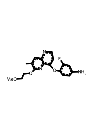 COCCOc1nc2c(Oc3ccc(N)cc3F)ccnc2cc1C